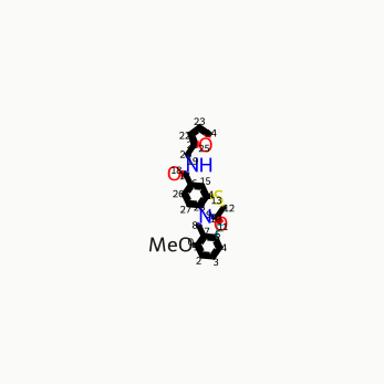 COc1cccc(F)c1CN1C(=O)CSc2cc(C(=O)NCc3ccco3)ccc21